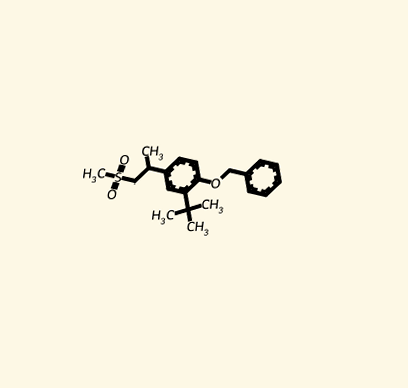 CC([CH]S(C)(=O)=O)c1ccc(OCc2ccccc2)c(C(C)(C)C)c1